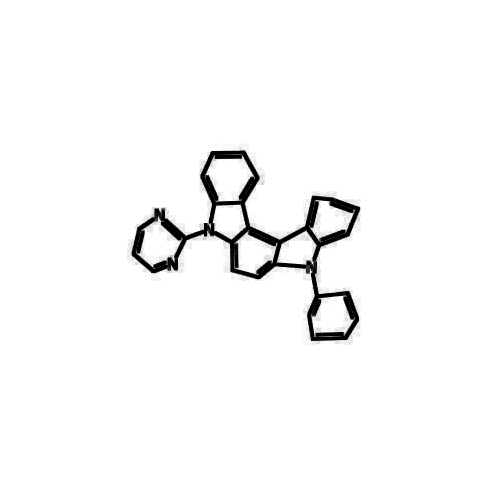 c1ccc(-n2c3ccccc3c3c4c5ccccc5n(-c5ncccn5)c4ccc32)cc1